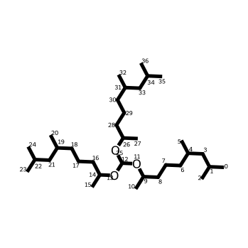 CC(C)CC(C)CCCC(C)OC(OC(C)CCCC(C)CC(C)C)OC(C)CCCC(C)CC(C)C